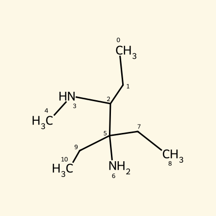 CCC(NC)C(N)(CC)CC